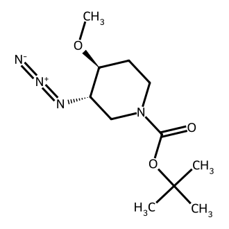 CO[C@H]1CCN(C(=O)OC(C)(C)C)C[C@@H]1N=[N+]=[N-]